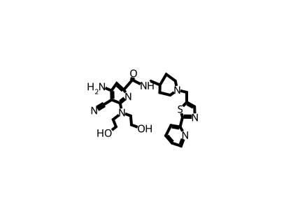 N#Cc1c(N)cc(C(=O)NCC2CCN(Cc3cnc(-c4ccccn4)s3)CC2)nc1N(CCO)CCO